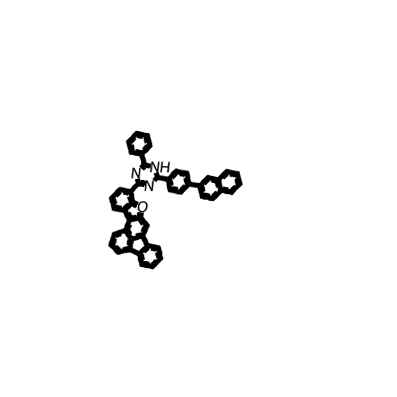 c1ccc(C2=NC(c3cccc4c3oc3cc5c6c(cccc6c34)-c3ccccc3-5)=NC(c3ccc(-c4ccc5ccccc5c4)cc3)N2)cc1